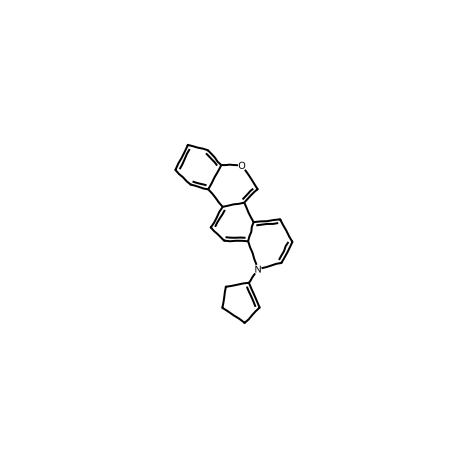 C1=CN(C2=CCCC2)c2ccc3c(c2=C1)=COc1ccccc1-3